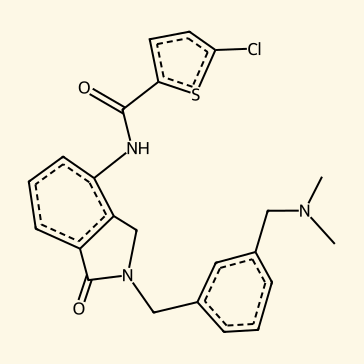 CN(C)Cc1cccc(CN2Cc3c(NC(=O)c4ccc(Cl)s4)cccc3C2=O)c1